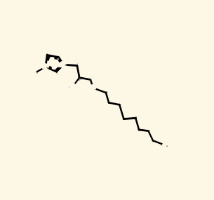 CCCCCCCCCCCCCCCCCCSCC(O)Cn1cc[n+](C)c1.[I-]